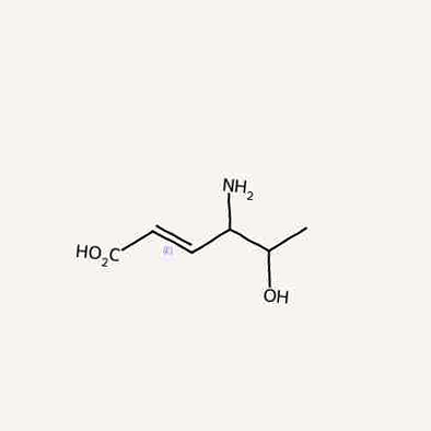 CC(O)C(N)/C=C/C(=O)O